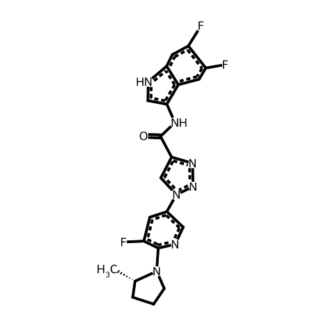 C[C@H]1CCCN1c1ncc(-n2cc(C(=O)Nc3c[nH]c4cc(F)c(F)cc34)nn2)cc1F